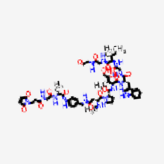 CC[C@H](C)C(NC(=O)CNC(=O)[C@@H](Cc1c[nH]c2ccccc12)NC(=O)[C@@H](NC(=O)[C@@H]1CCCN1C(=O)[C@H](CC(=O)NCc1ccc(NC(=O)[C@H](C)NC(=O)CNC(=O)CCN2C(=O)C=CC2=O)cc1)NC)[C@@H](C)[C@@H](O)CO)C(=O)NCC(=O)NCC=O